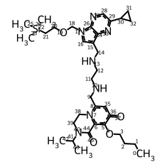 CCCCOc1c2n(c(CNCCNCc3cn(COCC[Si](C)(C)C)c4ncc(C5CC5)nc34)cc1=O)CCN(C(C)C)C2=O